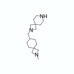 CN1CC2(CCC(CN3CC4(CCNCC4)C3)CC2)C1